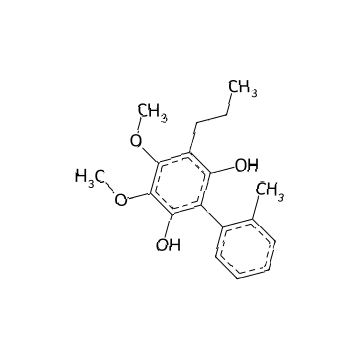 CCCc1c(O)c(-c2ccccc2C)c(O)c(OC)c1OC